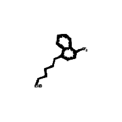 O=CCCCCCc1ccc(C(F)(F)F)c2ccccc12